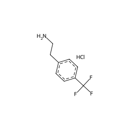 Cl.NCCc1ccc(C(F)(F)F)cc1